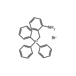 Nc1ccccc1C[P+](c1ccccc1)(c1ccccc1)c1ccccc1.[Br-]